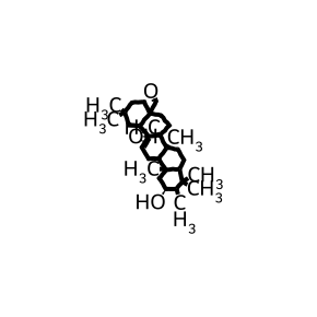 CC1[C@H](O)CC2(C)C(CCC3(C)C2CC=C2C3(C)CCC3(C=O)CCC(C)(C)CC23O)C1(C)C